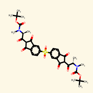 C[C@@H](C(=O)C1C(=O)c2ccc(S(=O)(=O)c3ccc4c(c3)C(=O)C(C(=O)[C@H](C)N(C)C(=O)OC(C)(C)C)C4=O)cc2C1=O)N(C)C(=O)OC(C)(C)C